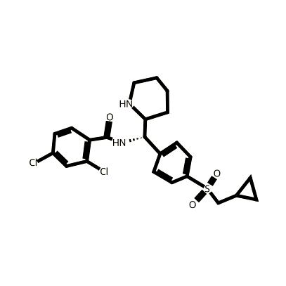 O=C(N[C@@H](c1ccc(S(=O)(=O)CC2CC2)cc1)C1CCCCN1)c1ccc(Cl)cc1Cl